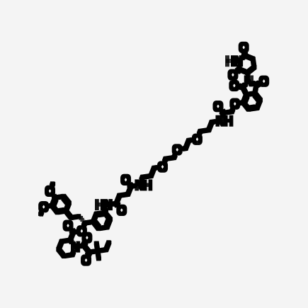 CCC(C)(C)C(=O)C(=O)N1CCCCC1C(=O)O[C@H](CCc1ccc(OC)c(OC)c1)c1cccc(NC(=O)CCC(=O)NCCCOCCOCCOCCCNC(=O)COc2cccc3c2C(=O)N(C2CCC(=O)NC2=O)C3=O)c1